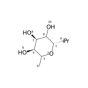 CC(C)[C@@H]1OC(C)[C@@H](O)[C@@H](O)C1O